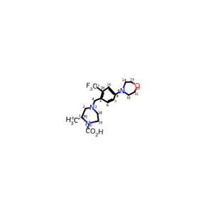 C[C@@H]1CN(Cc2ccc(N3CCOCC3)cc2C(F)(F)F)CCN1C(=O)O